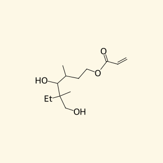 C=CC(=O)OCCC(C)C(O)C(C)(CC)CO